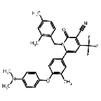 Cc1ccc(Cn2c(-c3ccc(Oc4ccc(N(C)C)cc4)c(C)c3)cc(C(F)(F)F)c(C#N)c2=O)c(C)c1